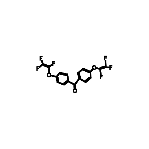 O=C(c1ccc(OC(F)=C(F)F)cc1)c1ccc(OC(F)=C(F)F)cc1